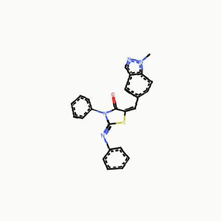 Cn1ncc2cc(C=C3SC(=Nc4ccccc4)N(c4ccccc4)C3=O)ccc21